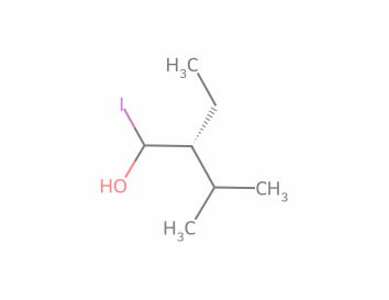 CC[C@H](C(C)C)C(O)I